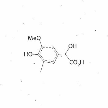 COc1cc(C(O)C(=O)O)cc(C)c1O